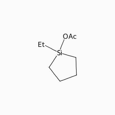 CC[Si]1(OC(C)=O)CCCC1